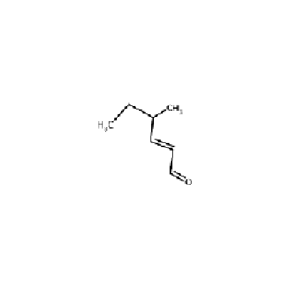 CCC(C)C=CC=O